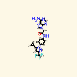 Nc1ncnc2c1ncn2CC(=O)Nc1ccc(-n2nc(C(F)(F)F)cc2C2CC2)cc1